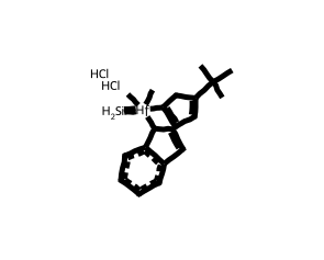 CC(C)(C)C1=CC=[C]([Hf]([CH3])([CH3])(=[SiH2])[CH]2C=Cc3ccccc32)C1.Cl.Cl